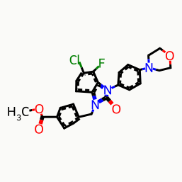 COC(=O)c1ccc(Cn2c(=O)n(-c3ccc(N4CCOCC4)cc3)c3c(F)c(Cl)ccc32)cc1